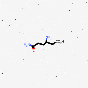 NC(=O)CCC(N)CC(=O)O